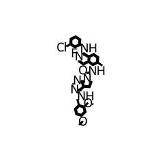 COc1ccc(CNc2ncnc3c2ccn3C(=O)Nc2c(C)ccc3c(Nc4cccc(Cl)c4F)nccc23)c(OC)c1